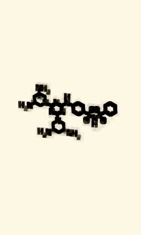 N[C@@H]1C[C@H](N)CN(c2nc(Nc3ccc(S(=O)(=O)NS(=O)(=O)c4ccccc4)cc3)nc(N3C[C@H](N)C[C@H](N)C3)n2)C1